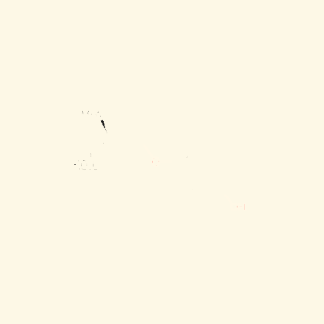 CN[C@@H](COCCCO)C(=O)O